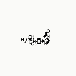 CC(C)(C)OC(=O)N1CCN(c2nccc3nc(C=O)cn23)CC1